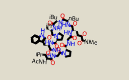 CCCC[C@H](NC(=O)[C@H](CCC(=O)C(=O)NC)NC(=O)CNC(=O)[C@@H]1CCCN1C(=O)CNC(=O)[C@H](CC(C)C)NC(C)=O)C(=O)N[C@H](C(=O)N[C@@H](CC(C)C)C(=O)N1CCC[C@H]1C(=O)N[C@@H](Cc1c[nH]c2ccccc12)C(N)=O)[C@@H](C)CC